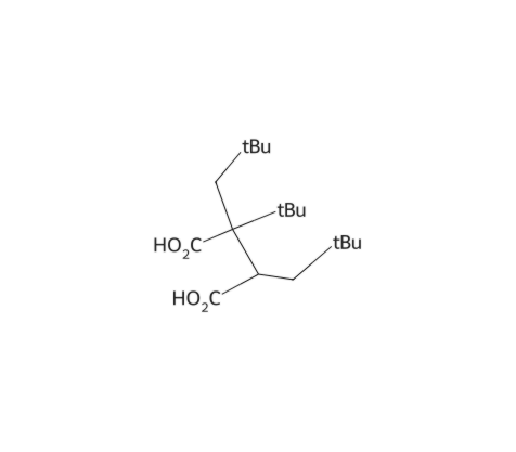 CC(C)(C)CC(C(=O)O)C(CC(C)(C)C)(C(=O)O)C(C)(C)C